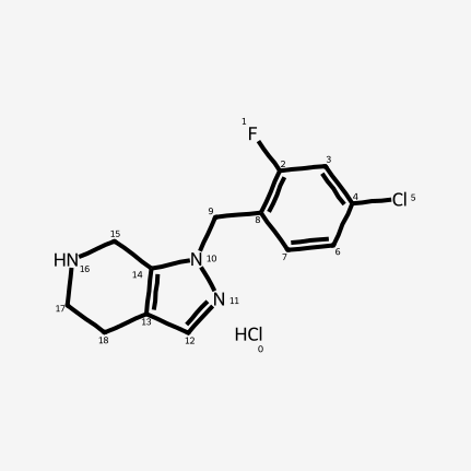 Cl.Fc1cc(Cl)ccc1Cn1ncc2c1CNCC2